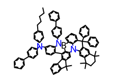 CCCCCc1ccc(N(c2ccc(-c3ccccc3)cc2)c2ccc3c(c2)N(c2ccc(-c4ccccc4)cc2)B2c4cccc5c4N(c4cc6c(cc4C5(c4ccccc4)c4ccccc4)C(C)(C)CCC6(C)C)c4cc5c(c-3c42)-c2ccccc2C5(C)C)cc1